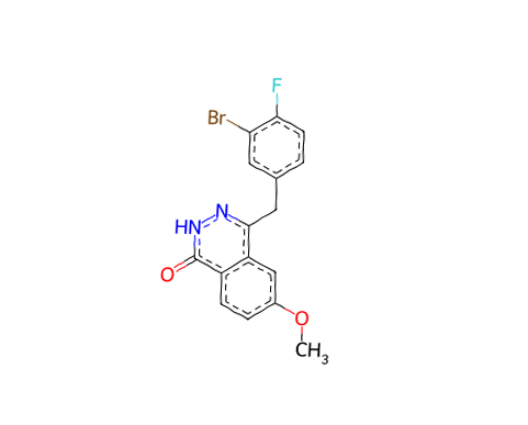 COc1ccc2c(=O)[nH]nc(Cc3ccc(F)c(Br)c3)c2c1